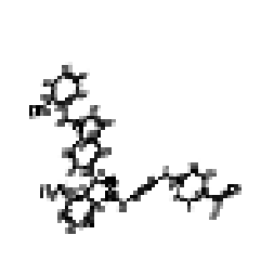 CC(=O)N1CCN(CC#CCn2nc(-c3ccc4c(ccn4Cc4ccccc4Cl)c3)c3c(N)ncnc32)CC1